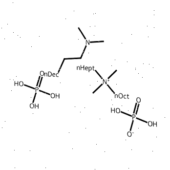 CCCCCCCCCCCCN(C)C.CCCCCCCC[N+](C)(C)CCCCCCC.O=P(O)(O)O.O=P([O-])(O)O